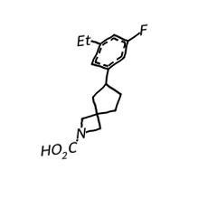 CCc1cc(F)cc(C2CCC3(C2)CN(C(=O)O)C3)c1